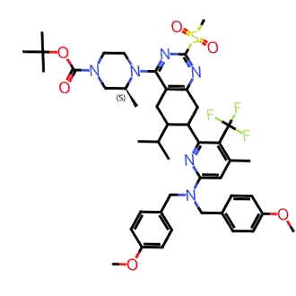 COc1ccc(CN(Cc2ccc(OC)cc2)c2cc(C)c(C(F)(F)F)c(C3Cc4nc(S(C)(=O)=O)nc(N5CCN(C(=O)OC(C)(C)C)C[C@@H]5C)c4CC3C(C)C)n2)cc1